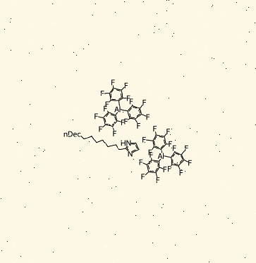 CCCCCCCCCCCCCCCCCc1ncc[nH]1.Fc1c(F)c(F)[c]([Al]([c]2c(F)c(F)c(F)c(F)c2F)[c]2c(F)c(F)c(F)c(F)c2F)c(F)c1F.Fc1c(F)c(F)[c]([Al]([c]2c(F)c(F)c(F)c(F)c2F)[c]2c(F)c(F)c(F)c(F)c2F)c(F)c1F